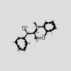 COc1ccccc1N(C)[C@@H](C)[C@H](Cl)c1ccccc1